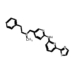 CN(CCc1ccccc1)Cc1ccc(Nc2cccc(-c3nccs3)n2)nc1